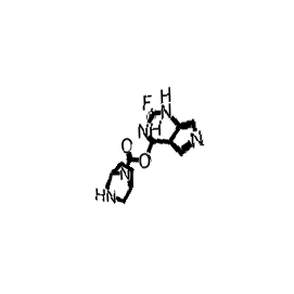 O=C(OC1N[C@H](F)NC2=CN=CC21)N1C2CCC1CNC2